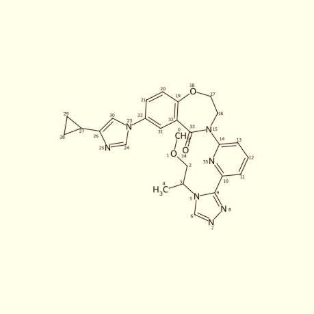 COCC(C)n1cnnc1-c1cccc(N2CCOc3ccc(-n4cnc(C5CC5)c4)cc3C2=O)n1